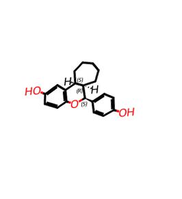 Oc1ccc([C@H]2Oc3ccc(O)cc3[C@H]3CCCCC[C@H]32)cc1